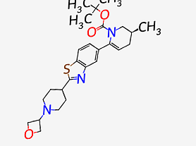 C[C@H]1CC=C(c2ccc3sc(C4CCN(C5COC5)CC4)nc3c2)N(C(=O)OC(C)(C)C)C1